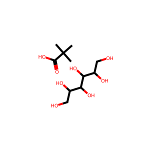 CC(C)(C)C(=O)O.OCC(O)C(O)C(O)C(O)CO